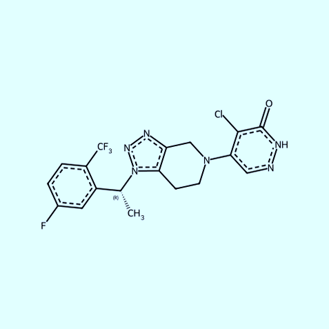 C[C@H](c1cc(F)ccc1C(F)(F)F)n1nnc2c1CCN(c1cn[nH]c(=O)c1Cl)C2